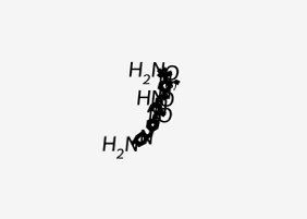 CC[C@H]1CN(C(=O)Nc2ccn(-c3ccc(CN4CCC(N)CC4)cc3)c(=O)n2)CCN1C(=O)C(C)(C)N